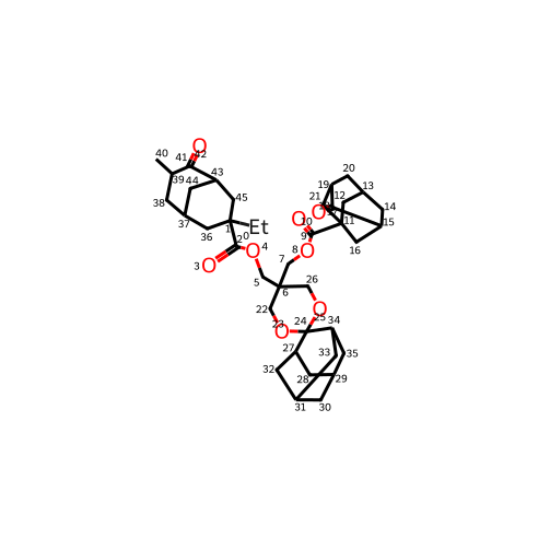 CCC1(C(=O)OCC2(COC(=O)C34CC5CC(C3)C(=O)C(C5)C4)COC3(OC2)C2CC4CC(C2)CC3C4)CC2CC(C)C(=O)C(C2)C1